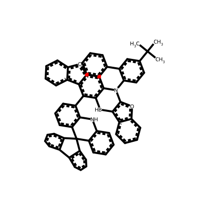 CC(C)(C)c1ccc(N2c3cc4oc5ccccc5c4c(-c4cccc5c4Nc4ccccc4C54c5ccccc5-c5ccccc54)c3Bc3c2oc2ccccc32)c(-c2ccccc2)c1